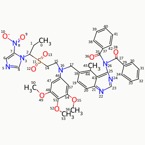 CCC(n1cncc1[N+](=O)[O-])S(=O)(=O)CCN(Cc1ccc2ncnc(N(C(=O)c3ccccc3)C(=O)c3ccccc3)c2c1C)c1cc(OC)c(OC)c(OC)c1